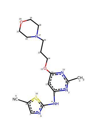 Cc1nc(Nc2ncc(C#N)s2)cc(OCCCN2CCOCC2)n1